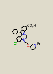 CC(C)N1CCCC(OCCN2CCn3c(c(C4CCCCC4)c4ccc(C(=O)O)cc43)-c3ccc(Cl)cc32)C1